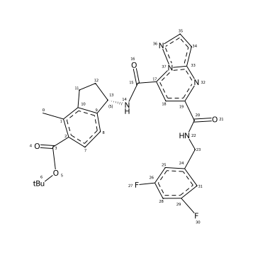 Cc1c(C(=O)OC(C)(C)C)ccc2c1CC[C@@H]2NC(=O)c1cc(C(=O)NCc2cc(F)cc(F)c2)nc2ccnn12